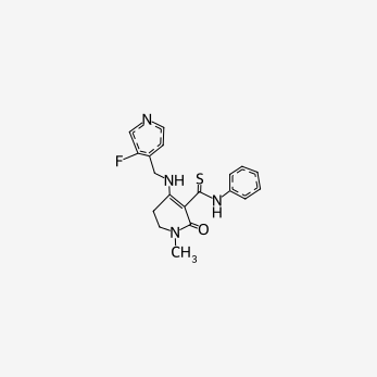 CN1CCC(NCc2ccncc2F)=C(C(=S)Nc2ccccc2)C1=O